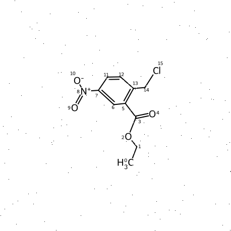 CCOC(=O)c1cc([N+](=O)[O-])ccc1CCl